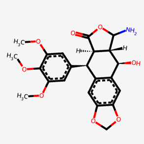 COc1cc([C@@H]2c3cc4c(cc3[C@H](O)[C@H]3C(N)OC(=O)[C@H]23)OCO4)cc(OC)c1OC